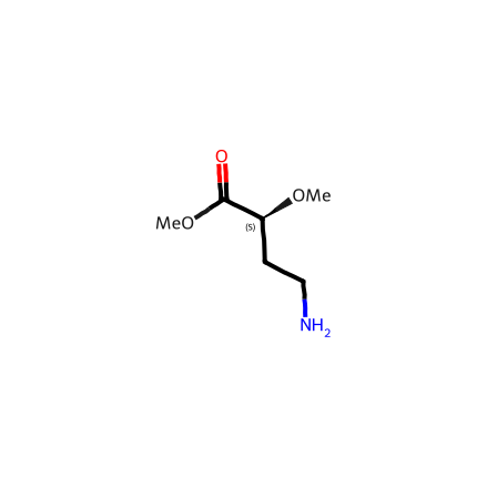 COC(=O)[C@H](CCN)OC